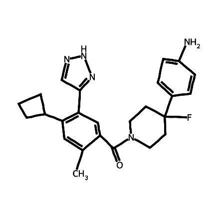 Cc1cc(C2CCC2)c(-c2cn[nH]n2)cc1C(=O)N1CCC(F)(c2ccc(N)cc2)CC1